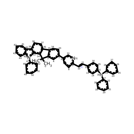 CC1(C)c2cc(-c3ccc(/C=C/c4ccc(N(c5ccccc5)c5ccccc5)cc4)nc3)ccc2-c2ccc3c4ccccc4n(-c4ccccc4)c3c21